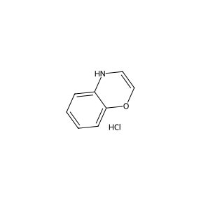 C1=COc2ccccc2N1.Cl